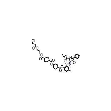 CCOC(=O)C1=NN(c2ccccc2)C(=O)/C1=C1\Sc2c(C)ccc(OC(=O)C3CCC(OC(=O)C4CCC(C(=O)OCCCOC(=O)CCCl)CC4)CC3)c2S1